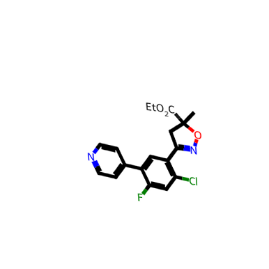 CCOC(=O)C1(C)CC(c2cc(-c3ccncc3)c(F)cc2Cl)=NO1